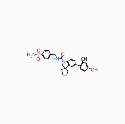 N#Cc1cc(O)ccc1-c1ccc2c(c1)C1(CCCC1)CN2C(=O)NCc1ccc(S(N)(=O)=O)cc1